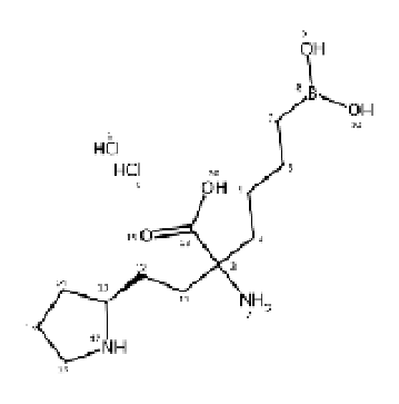 Cl.Cl.NC(CCCCB(O)O)(CC[C@@H]1CCCN1)C(=O)O